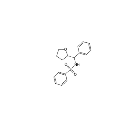 O=S(=O)(NC(c1ccccc1)C1CCCO1)c1ccccc1